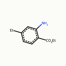 CCOC(=O)c1ccc(CC)cc1N